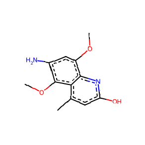 COc1cc(N)c(OC)c2c(C)cc(O)nc12